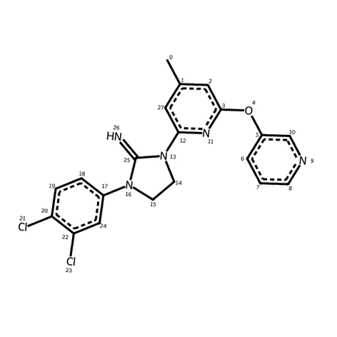 Cc1cc(Oc2cccnc2)nc(N2CCN(c3ccc(Cl)c(Cl)c3)C2=N)c1